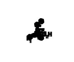 Cc1c(/C=C/c2cc(OCc3ccnc(I)c3)c(CN3CCCCC3C(=O)O)cc2C(F)(F)F)cccc1-c1ccccc1